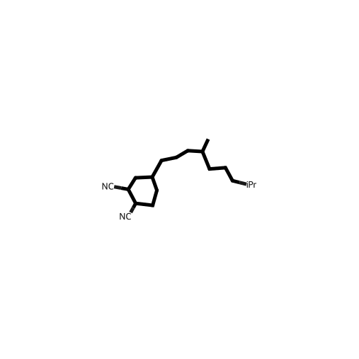 CC(C)CCCC(C)CCCC1CCC(C#N)C(C#N)C1